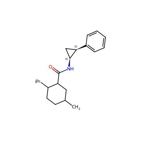 CC1CCC(C(C)C)C(C(=O)N[C@H]2C[C@H]2c2ccccc2)C1